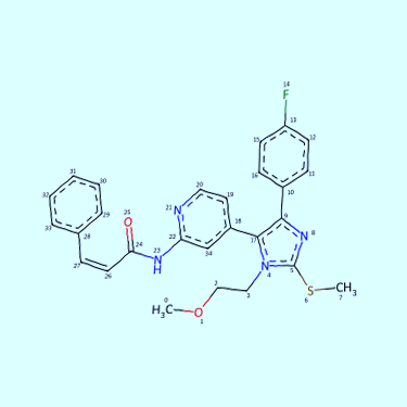 COCCn1c(SC)nc(-c2ccc(F)cc2)c1-c1ccnc(NC(=O)/C=C\c2ccccc2)c1